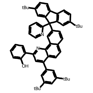 CC(C)(C)c1cc(-c2cc(-c3ccccc3O)nc3c2ccc2ccc(C4(c5ccccn5)c5cc(C(C)(C)C)ccc5-c5ccc(C(C)(C)C)cc54)cc23)cc(C(C)(C)C)c1